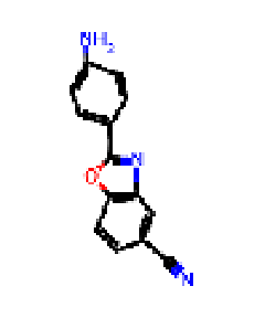 N#Cc1ccc2oc(-c3ccc(N)cc3)nc2c1